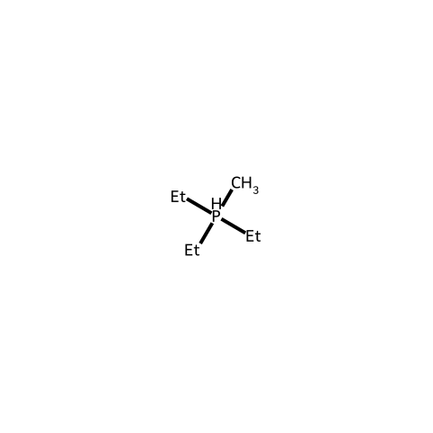 CC[PH](C)(CC)CC